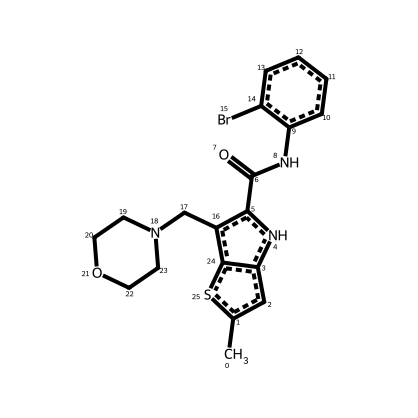 Cc1cc2[nH]c(C(=O)Nc3ccccc3Br)c(CN3CCOCC3)c2s1